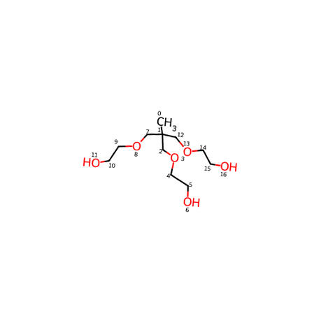 CC(COCCO)(COCCO)COCCO